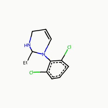 CCC1NCC=CN1c1c(Cl)cccc1Cl